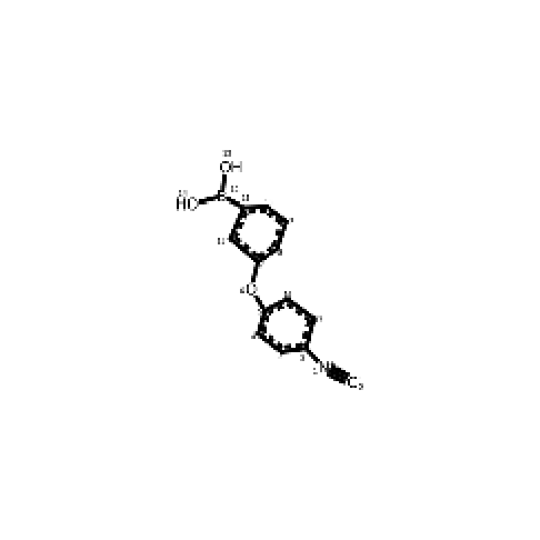 [C-]#[N+]c1ccc(Oc2cccc(B(O)O)c2)cc1